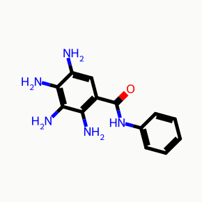 Nc1cc(C(=O)Nc2ccccc2)c(N)c(N)c1N